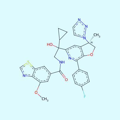 COc1cc(C(=O)NCC(O)(c2cc3c(c(-c4ccc(F)cc4)n2)OC[C@]3(C)n2ccnn2)C2CC2)cc2scnc12